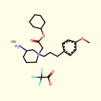 Br.COc1ccc(CCC[N+]2(CC(=O)OC3CCCCC3)CCCC(N)C2)cc1.O=C([O-])C(F)(F)F